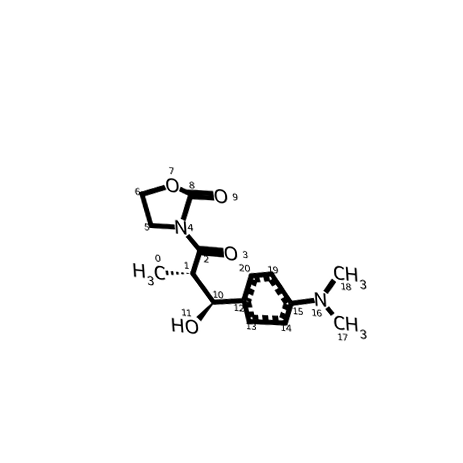 C[C@H](C(=O)N1CCOC1=O)[C@H](O)c1ccc(N(C)C)cc1